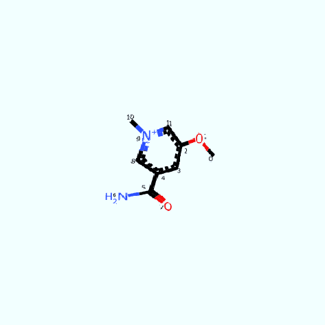 COc1cc(C(N)=O)c[n+](C)c1